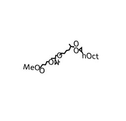 CCCCCCCCC1CC1OC(=O)C(C)CCCCOCC(COCCCC(=O)OC)N(C)C